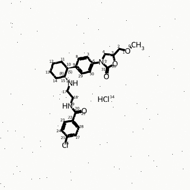 COCC1CN(c2ccc([C@@H]3CCCC[C@H]3NCCNC(=O)c3ccc(Cl)cc3)cc2)C(=O)O1.Cl